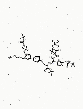 CC(C)(C)OC(=O)Nc1nc(/C(=N/OC(COc2ccc(-c3cn(CCCN=[N+]=[N-])[n+](CC4(F)CN(C(=O)OC(C)(C)C)C4)c3)cc2)C(=O)OC(C)(C)C)C(=O)N[C@@H]2C(=O)N(OS(=O)(=O)[O-])C2(C)C)cs1